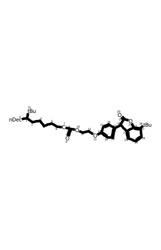 CCCCCCCCCCC(CCCCCCC(=O)OCCOc1ccc(C2C(=O)Oc3c2cccc3C(C)(C)C)cc1)C(C)(C)C